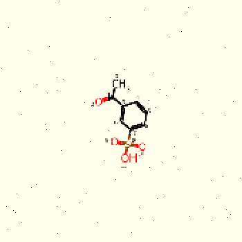 CC(=O)c1cccc(S(=O)(=O)O)c1